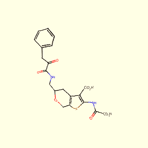 O=C(O)C(=O)Nc1sc2c(c1C(=O)O)CC(CNC(=O)C(=O)Cc1ccccc1)OC2